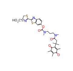 CC1=C(C)C(=O)C(C(C)(C)CC(=O)N(C)CCCN(C)C(=O)Oc2ccc3nc(C4=N[C@@H](C(=O)O)CS4)sc3c2)=C(C)C1=O